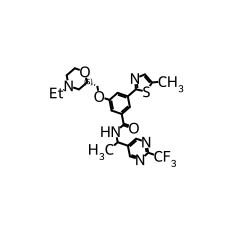 CCN1CCO[C@H](COc2cc(C(=O)NC(C)c3cnc(C(F)(F)F)nc3)cc(-c3ncc(C)s3)c2)C1